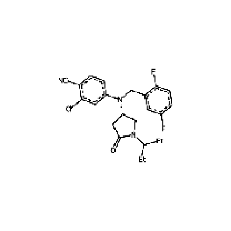 CCC(CC)N1C[C@@H](N(Cc2cc(F)ccc2F)c2ccc(C#N)c(Cl)c2)CC1=O